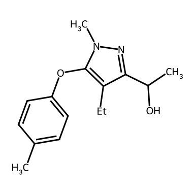 CCc1c(C(C)O)nn(C)c1Oc1ccc(C)cc1